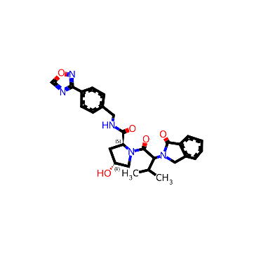 CC(C)C(C(=O)N1C[C@H](O)C[C@H]1C(=O)NCc1ccc(-c2ncon2)cc1)N1Cc2ccccc2C1=O